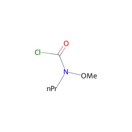 CCCN(OC)C(=O)Cl